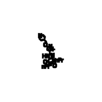 CCCn1c(=O)c2[nH]c(-c3cc(OCc4ccncc4)nn3C)nc2n(CCC)c1=O